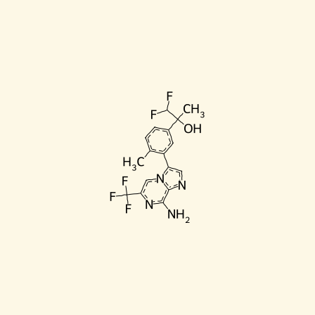 Cc1ccc(C(C)(O)C(F)F)cc1-c1cnc2c(N)nc(C(F)(F)F)cn12